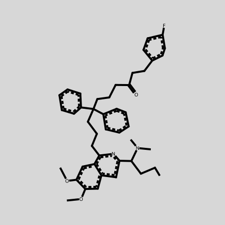 CCCC(c1cc2cc(OC)c(OC)cc2c(CCCC(CCCC(=O)CCc2ccc(F)cc2)(c2ccccc2)c2ccccc2)n1)N(C)C